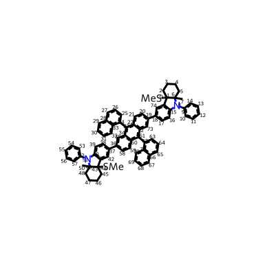 CSC12CCCCC1(C)N(c1ccccc1)c1ccc(-c3ccc4c(-c5cccc6ccccc56)c5cc(-c6ccc7c(c6)C6(SC)CCCCC6(C)N7c6ccccc6)ccc5c(-c5cccc6ccccc56)c4c3)cc12